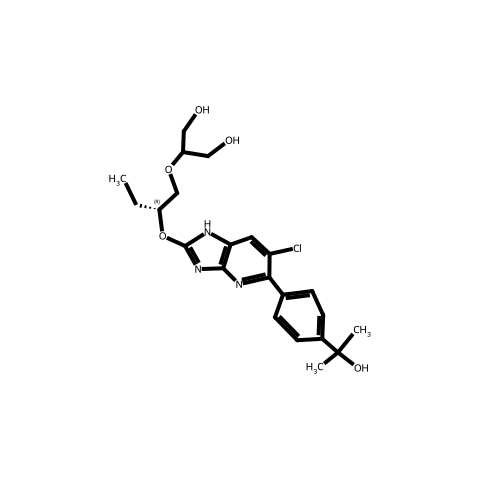 CC[C@H](COC(CO)CO)Oc1nc2nc(-c3ccc(C(C)(C)O)cc3)c(Cl)cc2[nH]1